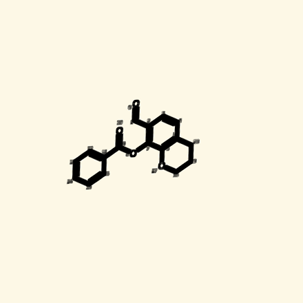 O=Cc1ccc2c(c1OC(=O)c1ccccc1)OCCC2